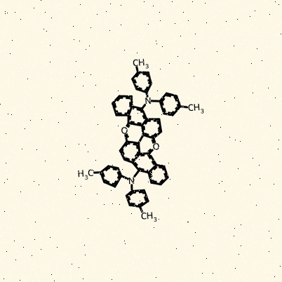 Cc1ccc(N(c2ccc(C)cc2)c2c3ccccc3c3oc4ccc5c(N(c6ccc(C)cc6)c6ccc(C)cc6)c6ccccc6c6oc7ccc2c3c7-c4c56)cc1